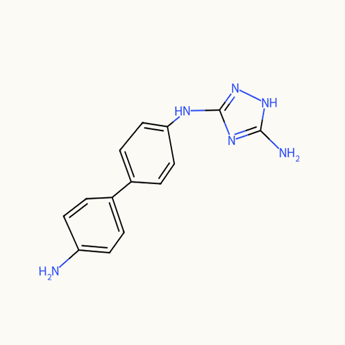 Nc1ccc(-c2ccc(Nc3n[nH]c(N)n3)cc2)cc1